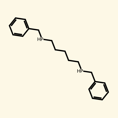 c1ccc(CPCCCCCPCc2ccccc2)cc1